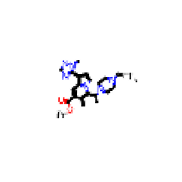 Cc1c(C(=O)OC(C)C)cc2c(-c3ncnn3C)ccn2c1C(C)N1CCN(CC(F)(F)F)CC1